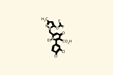 CCn1c(Cn2nc(C)cc2OC(F)F)cc(=O)c(C(=O)O)c1-c1ccc(Cl)c(Cl)c1